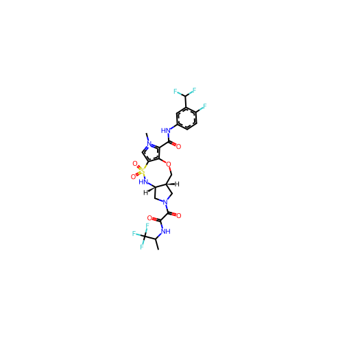 CC(NC(=O)C(=O)N1C[C@H]2COc3c(cn(C)c3C(=O)Nc3ccc(F)c(C(F)F)c3)S(=O)(=O)N[C@H]2C1)C(F)(F)F